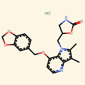 Cc1c(C)n(CC2CNC(=O)O2)c2c(OCc3ccc4c(c3)OCO4)ccnc12.Cl